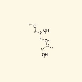 COCC(O)COC(C)CO